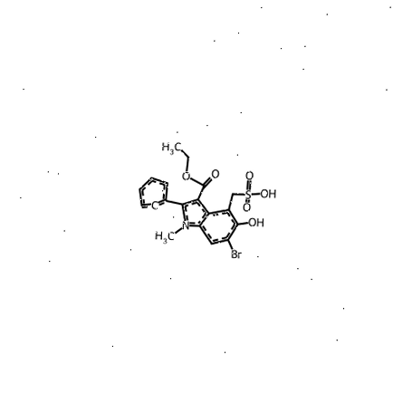 CCOC(=O)c1c(-c2ccccc2)n(C)c2cc(Br)c(O)c(CS(=O)(=O)O)c12